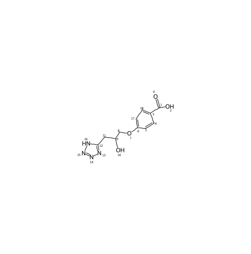 O=C(O)c1ccc(OCC(O)Cc2nnn[nH]2)cc1